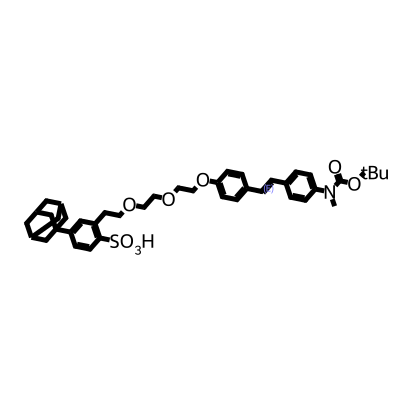 CN(C(=O)OC(C)(C)C)c1ccc(/C=C/c2ccc(OCCOCCOCCc3cc(C45CC6CC(CC(C6)C4)C5)ccc3S(=O)(=O)O)cc2)cc1